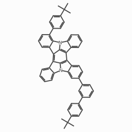 CC(C)(C)c1ccc(-c2cccc(-c3ccc4c5c6c7ccccc7n7c8c(-c9ccc(C(C)(C)C)cc9)cccc8c(c8c9ccccc9n(c4c3)c58)c67)c2)cc1